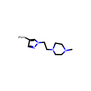 CCCC(C)c1cnn(CCN2CCN(C)CC2)c1